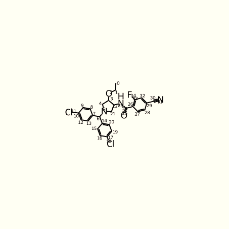 CCOC1CN(C(c2ccc(Cl)cc2)c2ccc(Cl)cc2)CC1NC(=O)c1ccc(C#N)cc1F